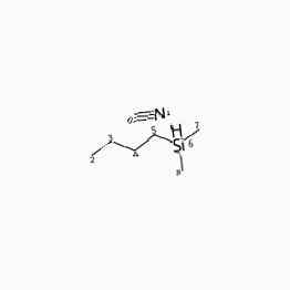 C#N.CCCC[SiH](C)C